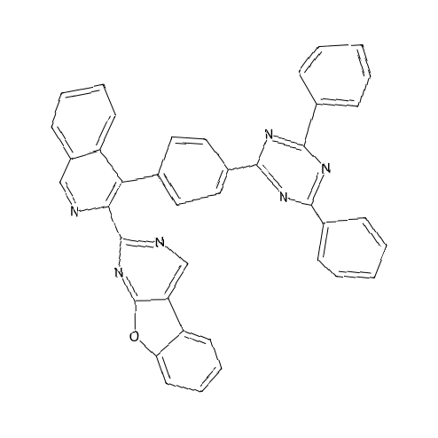 c1ccc(-c2nc(-c3ccccc3)nc(-c3ccc(-c4c(-c5ncc6c(n5)oc5ccccc56)ncc5ccccc45)cc3)n2)cc1